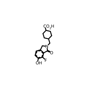 O=C(O)C1CCC(CN2Cc3ccc(O)c(F)c3C2=O)CC1